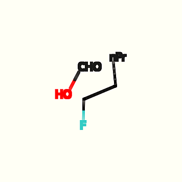 CCCCCF.O=CO